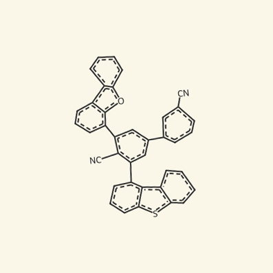 N#Cc1cccc(-c2cc(-c3cccc4c3oc3ccccc34)c(C#N)c(-c3cccc4sc5ccccc5c34)c2)c1